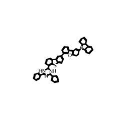 C1=CC2c3ccccc3N(C3=Cc4c(oc5c(-c6ccc7sc8c(C9NC(c%10ccccc%10)=NC(c%10ccccc%10)N9)cccc8c7c6)cccc45)CC3)C2C=C1